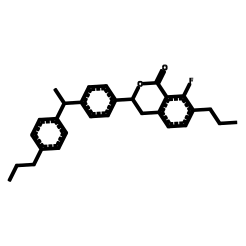 CCCc1ccc(C(C)c2ccc(C3Cc4ccc(CCC)c(F)c4C(=O)O3)cc2)cc1